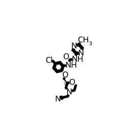 Cc1cnc(NC(=O)Nc2cc(Cl)ccc2OC[C@@H]2CN(CC#N)CCO2)cn1